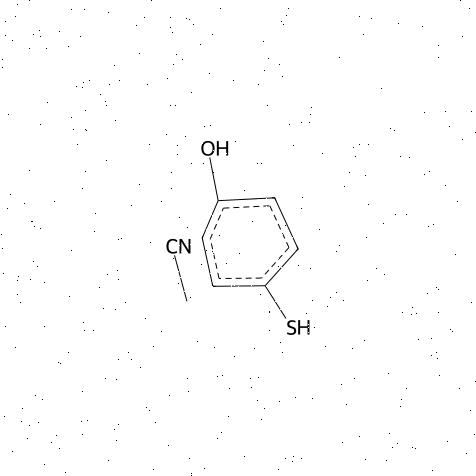 CC#N.Oc1ccc(S)cc1